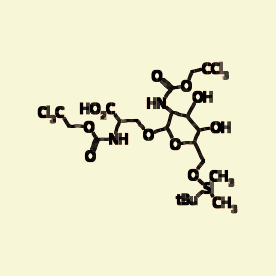 CC(C)(C)[Si](C)(C)OCC1OC(OCC(NC(=O)OCC(Cl)(Cl)Cl)C(=O)O)C(NC(=O)OCC(Cl)(Cl)Cl)C(O)C1O